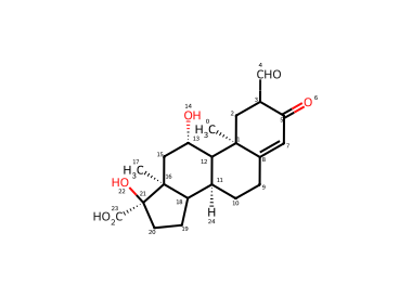 C[C@]12CC(C=O)C(=O)C=C1CC[C@@H]1C2[C@@H](O)C[C@@]2(C)C1CC[C@]2(O)C(=O)O